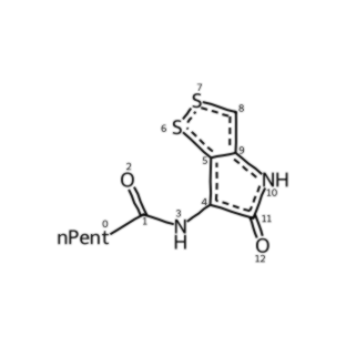 CCCCCC(=O)Nc1c2sscc-2[nH]c1=O